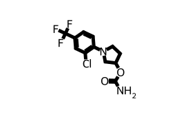 NC(=O)OC1CCN(c2ccc(C(F)(F)F)cc2Cl)C1